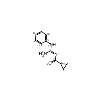 N/C(=N\C(=O)C1CC1)Nc1ccccc1